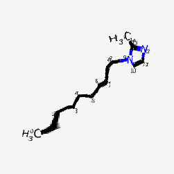 CCCCCCCCCn1ccnc1C